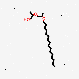 CCCCCCCCCCCCCCCCOC(C)COC(C)CO